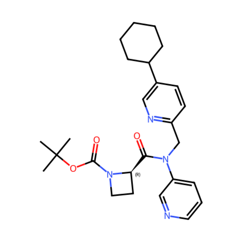 CC(C)(C)OC(=O)N1CC[C@@H]1C(=O)N(Cc1ccc(C2CCCCC2)cn1)c1cccnc1